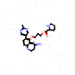 Cc1ncc(-c2ccc3c(c2OCCCOC(=O)C2CCCCN2)=CC(N)CCN=3)cn1